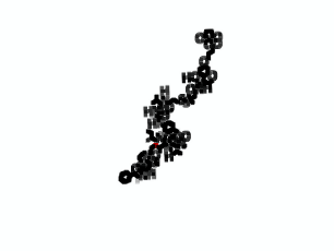 CC[C@H](C)[C@@H](CCC(=O)N1CCC[C@H]1[C@H](OC)[C@@H](C)C(=O)N[C@H](C)[C@@H](O)c1ccccc1)N(C)C(=O)[C@@H](NC(=O)[C@H](C(C)C)N(C)C(=O)OCc1ccc(NC(=O)[C@H](C)NC(=O)[C@@H](NC(=O)CCSSC(C)(C)CC(=O)N/N=C2\CCOc3cc(OCCCC(=O)ON4C(=O)CCC4=O)cc(O)c32)C(C)C)cc1)C(C)C